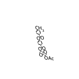 CC(=O)OC1COC2C1OC[C@@H]2OC(=O)c1ccc(OC(=O)c2ccc(C)cc2)cc1